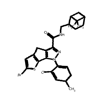 CC1C=C(Cl)C(n2nc(C(=O)NCC3CCC4CC3C4(C)C)c3c2-c2sc(Br)cc2C3)=CC1